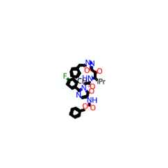 Cc1cccc(Cc2nnc(C(=O)C(NC(=O)Cn3c(-c4ccc(F)cc4)ncc(NC(=O)OCc4ccccc4)c3=O)C(C)C)o2)c1